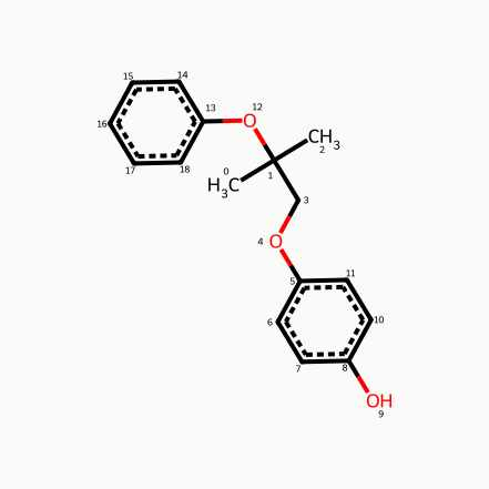 CC(C)(COc1ccc(O)cc1)Oc1ccccc1